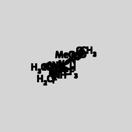 C=C(F)C(=O)Nc1cc(N[C@@H]2CCN(C)C[C@@H]2F)c2nc(C#CCNc3ccc(S(C)(=O)=O)cc3OC)c(CC(F)(F)F)n2c1